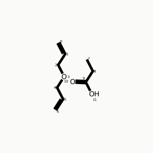 C=CCOCC=C.CCC(=O)O